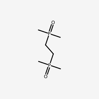 CP(C)(=O)CCP(C)(C)=O